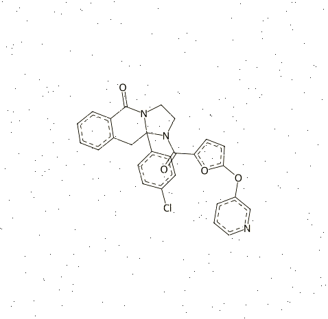 O=C(c1ccc(Oc2cccnc2)o1)N1CCN2C(=O)c3ccccc3CC12c1ccc(Cl)cc1